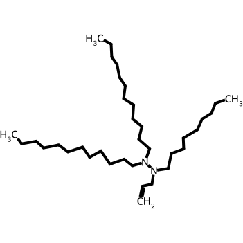 C=CCN(CCCCCCCCC)N(CCCCCCCCCCCC)CCCCCCCCCCCC